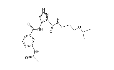 CC(=O)Nc1cccc(C(=O)Nc2c[nH]nc2C(=O)NCCCOC(C)C)c1